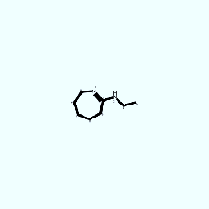 CCNC1=NCCCCC1